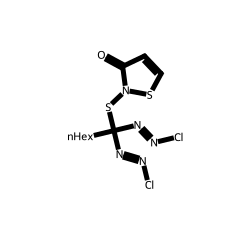 CCCCCCC(N=NCl)(N=NCl)Sn1sccc1=O